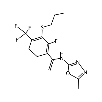 C=C(Nc1nnc(C)o1)C1=C(F)C(SCCC)=C(C(F)(F)F)CC1